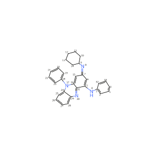 c1ccc(Nc2c/c(=N/C3CCCCC3)cc3n(-c4ccccc4)c4ccccc4nc2-3)cc1